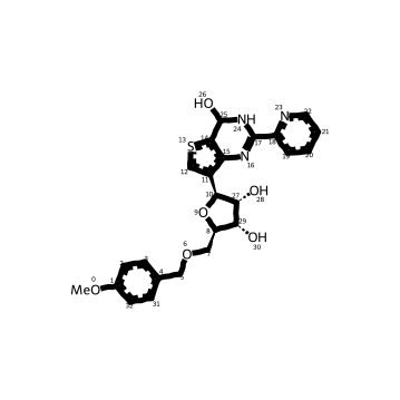 COc1ccc(COC[C@H]2O[C@@H](c3csc4c3N=C(c3ccccn3)NC4O)[C@H](O)[C@@H]2O)cc1